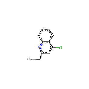 CC(C)(C)Cc1cc(Cl)c2ccccc2n1